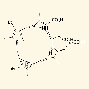 CCC1=C(C)c2cc3[nH]c(cc4nc(c(CC(=O)O)c5[nH]c(cc1n2)c(C)c5C(=O)O)[C@@H](CCC(=O)O)[C@@H]4C)c(C)c3C(C)C